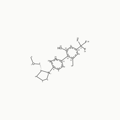 COC[C@H]1CCCN1c1ccc(-c2c(C)cc(C(F)(F)F)cc2O)nn1